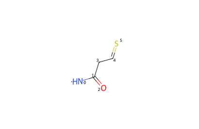 [NH]C(=O)CC=S